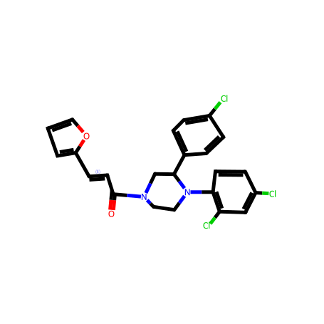 O=C(/C=C/c1ccco1)N1CCN(c2ccc(Cl)cc2Cl)C(c2ccc(Cl)cc2)C1